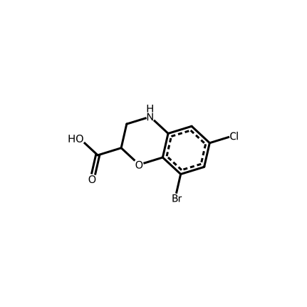 O=C(O)C1CNc2cc(Cl)cc(Br)c2O1